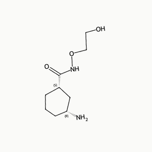 N[C@@H]1CCC[C@H](C(=O)NOCCO)C1